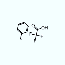 O=C(O)C(F)(F)F.[CH2]c1ccccc1